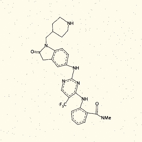 CNC(=O)c1ccccc1Nc1nc(Nc2ccc3c(c2)CC(=O)N3CC2CCNCC2)ncc1C(F)(F)F